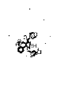 NN(Cc1cc(Cl)cs1)C1=C(C(I)C(=O)N2CCOCC2)CS(=O)(=O)c2ccccc21